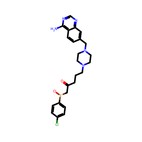 Nc1ncnc2cc(CN3CCN(CCCC(=O)C[S+]([O-])c4ccc(Cl)cc4)CC3)ccc12